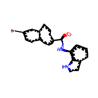 O=C(Nc1cccc2cc[nH]c12)c1ccc2cc(Br)ccc2c1